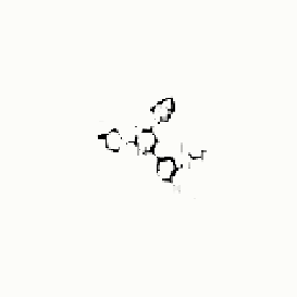 Nc1ncc(-c2cc(N3CC4CC(C3)O4)nc(N3CCC(F)(F)C3)n2)cc1OC(F)F